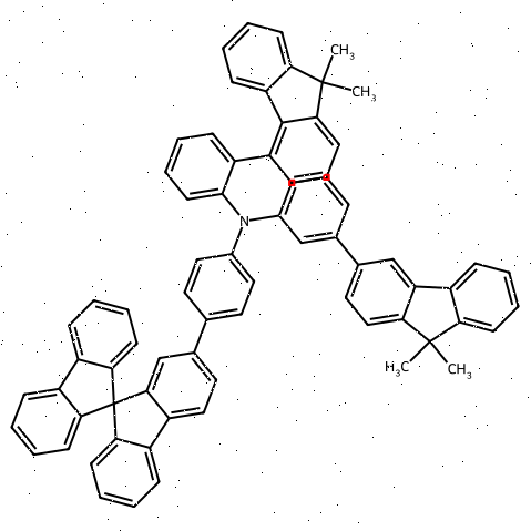 CC1(C)c2ccccc2-c2cc(-c3cccc(N(c4ccc(-c5ccc6c(c5)C5(c7ccccc7-c7ccccc75)c5ccccc5-6)cc4)c4ccccc4-c4cccc5c4-c4ccccc4C5(C)C)c3)ccc21